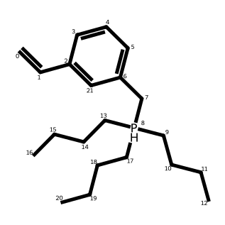 C=Cc1cccc(C[PH](CCCC)(CCCC)CCCC)c1